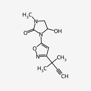 C#CC(C)(C)c1cc(N2C(=O)N(C)CC2O)on1